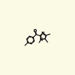 Cc1ccc(C(=O)c2nc(C)c(C)n2C)cc1